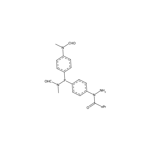 CCCC(=O)N(N)c1ccc(P(c2ccc(N(C)C=O)cc2)N(C)C=O)cc1